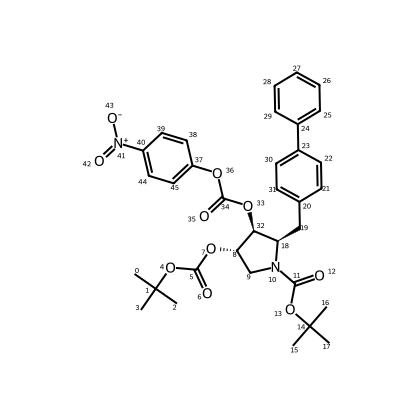 CC(C)(C)OC(=O)O[C@H]1CN(C(=O)OC(C)(C)C)[C@H](Cc2ccc(-c3ccccc3)cc2)[C@@H]1OC(=O)Oc1ccc([N+](=O)[O-])cc1